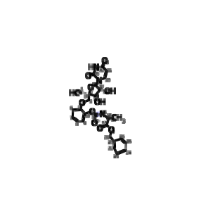 C#C[C@]1(COc2ccccc2O/[P+]([O-])=N/[C@@H](C)C(=O)OCc2ccccc2)O[C@@H](n2ccc(=O)[nH]c2=O)[C@H](O)[C@@H]1O